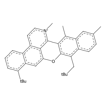 Cc1ccc2c(CC(C)(C)C)c3c(c(C)c2c1)-c1c2c(cc4c(C(C)(C)C)cccc4c2cc[n+]1C)O3